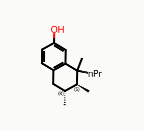 CCCC1(C)c2cc(O)ccc2C[C@@H](C)[C@@H]1C